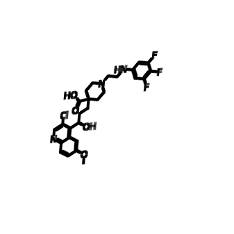 COc1ccc2ncc(Cl)c(C(O)CCC3(C(=O)O)CCN(CCNc4cc(F)c(F)c(F)c4)CC3)c2c1